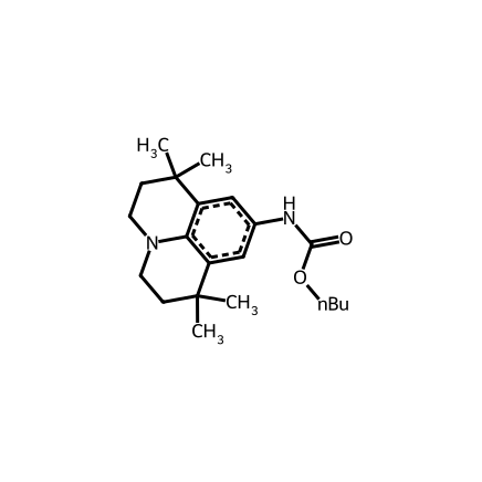 CCCCOC(=O)Nc1cc2c3c(c1)C(C)(C)CCN3CCC2(C)C